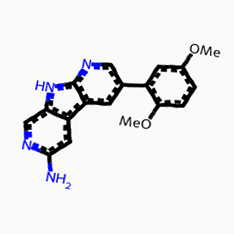 COc1ccc(OC)c(-c2cnc3[nH]c4cnc(N)cc4c3c2)c1